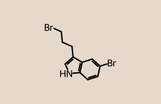 BrCCCc1c[nH]c2ccc(Br)cc12